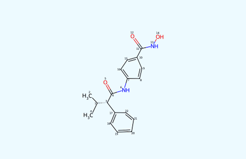 CC(C)[C@H](C(=O)Nc1ccc(C(=O)NO)cc1)c1ccccc1